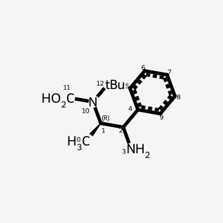 C[C@H](C(N)c1ccccc1)N(C(=O)O)C(C)(C)C